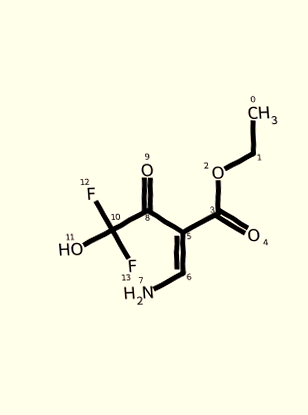 CCOC(=O)C(=CN)C(=O)C(O)(F)F